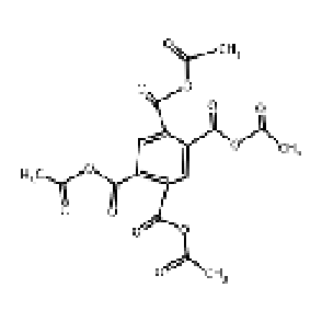 CC(=O)OC(=O)c1cc(C(=O)OC(C)=O)c(C(=O)OC(C)=O)cc1C(=O)OC(C)=O